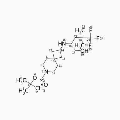 CC(C)(C)OC(=O)N1CCC2(CC1)CC(N[C@@H](CO)CC(C)(C)C(F)(F)F)C2